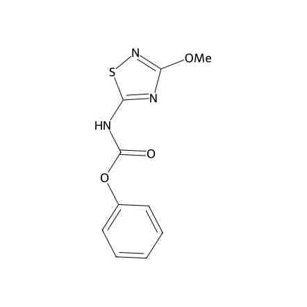 COc1nsc(NC(=O)Oc2ccccc2)n1